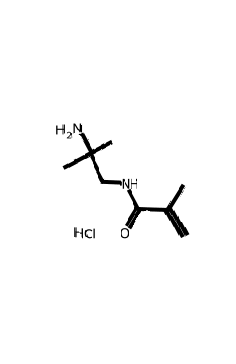 C=C(C)C(=O)NCC(C)(C)N.Cl